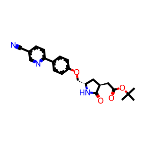 CC(C)(C)OC(=O)C[C@@H]1C[C@@H](COc2ccc(-c3ccc(C#N)cn3)cc2)NC1=O